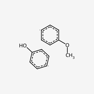 COc1cc[c]cc1.Oc1cc[c]cc1